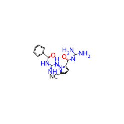 N#Cc1ccc(C(=O)N=C(N)N)n1NC(=N)NC(=O)c1ccccc1